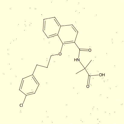 CC(C)(NC(=O)c1ccc2ccccc2c1OCCCc1ccc(Cl)cc1)C(=O)O